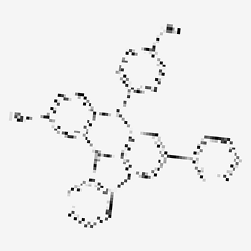 CC(C)(C)c1ccc(N2c3ccc(C(C)(C)C)cc3B3c4ccccc4-c4cc(-c5ccccc5)cc2c43)cc1